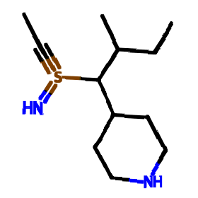 CC#S(=N)C(C(C)CC)C1CCNCC1